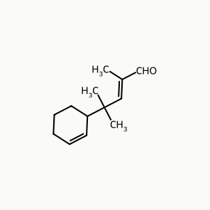 CC(C=O)=CC(C)(C)C1C=CCCC1